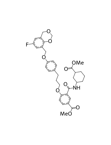 COC(=O)c1ccc(OCCCc2ccc(OCc3cc(F)cc4c3OCOC4)cc2)c(C(=O)NC2CCCC(C(=O)OC)C2)c1